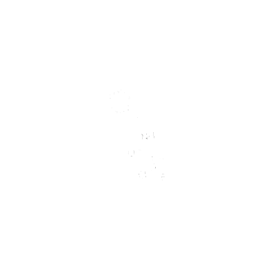 O=C(NCCc1ccccc1)C1CC1(F)Cl